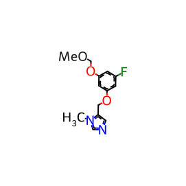 COCOc1cc(F)cc(OCc2cncn2C)c1